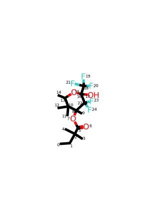 CCC(C)(C)C(=O)OC1(C)C(C)(C)C(C)OC(O)(C(F)(F)F)C1(F)F